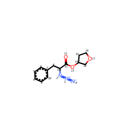 [N-]=[N+]=NC(Cc1ccccc1)C(=O)OC1CCOC1